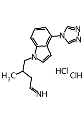 CC(CC=N)Cn1ccc2c(-n3cnnc3)cccc21.Cl.Cl